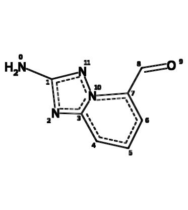 Nc1nc2cccc(C=O)n2n1